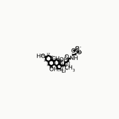 C[C@H](CCC(=O)NCCS(=O)(=O)[O-])[C@H]1CCC2C3C(C[C@H](O)[C@@]21C)[C@@]1(C)CC[C@@H](O)CC1C[C@H]3O.[Li+]